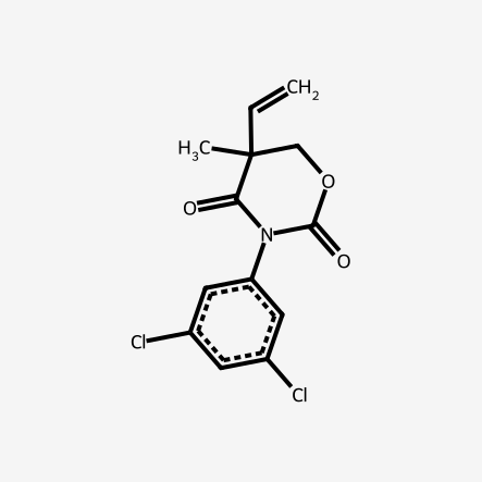 C=CC1(C)COC(=O)N(c2cc(Cl)cc(Cl)c2)C1=O